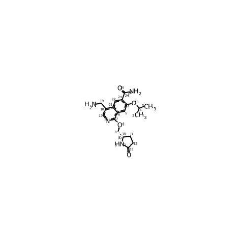 CC(C)Oc1cc2c(OC[C@@H]3CCC(=O)N3)ncc(CN)c2cc1C(N)=O